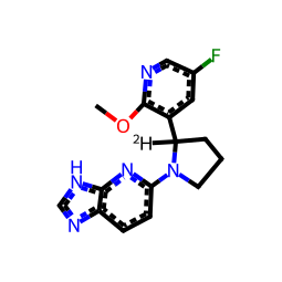 [2H]C1(c2cc(F)cnc2OC)CCCN1c1ccc2nc[nH]c2n1